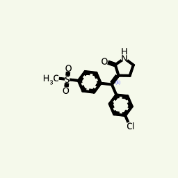 CS(=O)(=O)c1ccc(/C(=C2/CCNC2=O)c2ccc(Cl)cc2)cc1